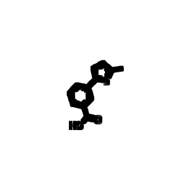 Cc1ccc(-c2cccc(C(=O)O)c2)s1